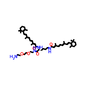 CC1=C(/C=C/C(C)=C/C=C/C(C)=C/C(=O)NCCCC[C@@H](NC(=O)/C=C(C)/C=C/C=C(C)/C=C/C2=C(C)CCCC2(C)C)C(=O)NCCOCCOCCN)C(C)(C)CCC1